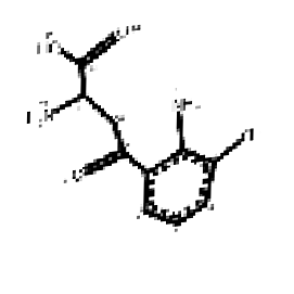 Nc1c(Cl)cccc1C(=O)CC(N)C(=O)O